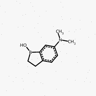 CN(C)c1ccc2c(c1)B(O)CC2